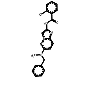 CN(Cc1ccccc1)c1ccc2nc(NC(=O)c3ccccc3Cl)cn2n1